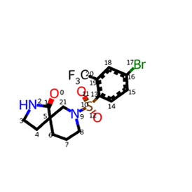 O=C1NCCC12CCCN(S(=O)(=O)c1ccc(Br)cc1C(F)(F)F)C2